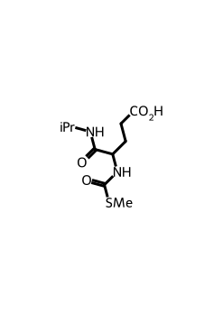 CSC(=O)NC(CCC(=O)O)C(=O)NC(C)C